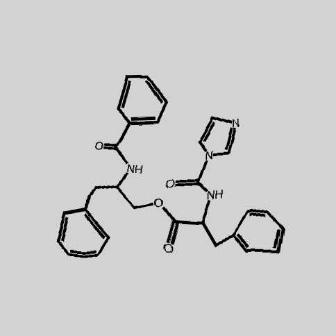 O=C(NC(COC(=O)C(Cc1ccccc1)NC(=O)n1ccnc1)Cc1ccccc1)c1ccccc1